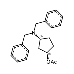 CC(=O)O[C@@H]1CC[C@H](N(Cc2ccccc2)Cc2ccccc2)C1